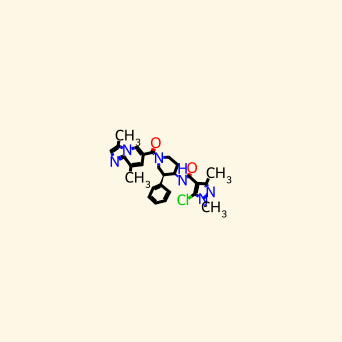 Cc1nn(C)c(Cl)c1C(=O)N[C@@H]1CCN(C(=O)c2cc(C)c3ncc(C)n3c2)C[C@@H]1c1ccccc1